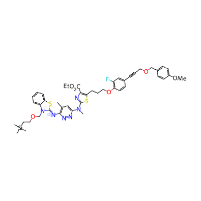 CCOC(=O)c1nc(N(C)c2cc(C)c(/N=c3\sc4ccccc4n3COCC[Si](C)(C)C)nn2)sc1CCCOc1ccc(C#CCOCc2ccc(OC)cc2)cc1F